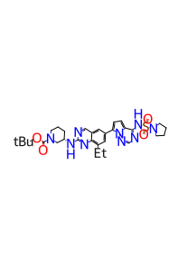 CCc1cc(-c2ccc3c(NS(=O)(=O)N4CCCC4)ncnn23)cc2cnc(N[C@H]3CCCN(C(=O)OC(C)(C)C)C3)nc12